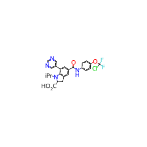 CC(C)N1c2c(cc(C(=O)Nc3ccc(OC(F)(F)Cl)cc3)cc2-c2cncnc2)CC1C(=O)O